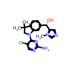 Cn1cncc1[C@@H](O)c1ccc2c(c1)N(c1nc(N)ncc1Cl)CC2(C)C